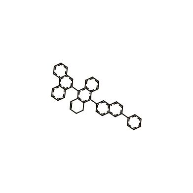 C1=Cc2c(c(-c3ccc4cc(-c5ccccc5)ccc4c3)c3ccccc3c2-c2cc3ccccc3c3ccccc23)CC1